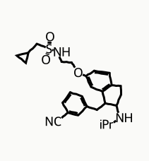 CC(C)NC1CCc2ccc(OCCNS(=O)(=O)CC3CC3)cc2C1Cc1cccc(C#N)c1